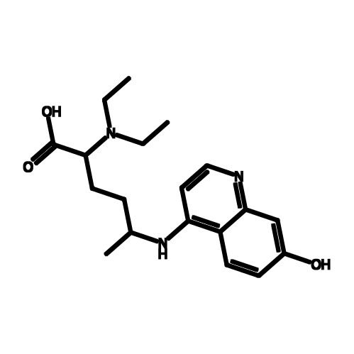 CCN(CC)C(CCC(C)Nc1ccnc2cc(O)ccc12)C(=O)O